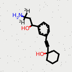 [2H]C([2H])(N)CC(O)c1cccc(C#CC2(O)CCCCC2)c1